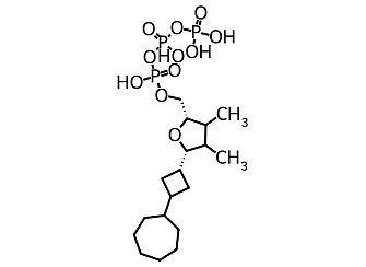 CC1C(C)[C@@H](COP(=O)(O)OP(=O)(O)OP(=O)(O)O)O[C@H]1C1CC(C2CCCCCC2)C1